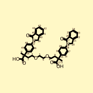 CC(CCOCCOCCC(C)(C(=O)O)c1ccc(N2Cc3ccccc3C2=O)cc1)(C(=O)O)c1ccc(N2Cc3ccccc3C2=O)cc1